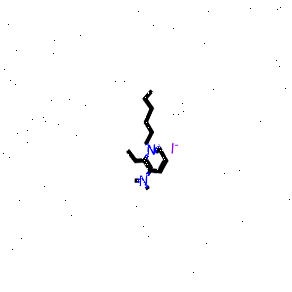 CCCCCC[n+]1cccc(N(C)C)c1CC.[I-]